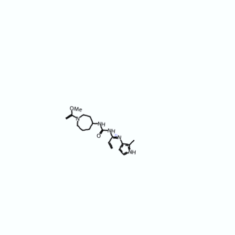 C=C/C(=N\c1cc[nH]c1C)NC(=O)NC1CCCN(C(=C)OC)CC1